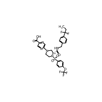 CCC(F)(F)c1ccc(CNC(=O)[C@H]2CN(c3cnc(C(=O)O)cn3)CCN2S(=O)(=O)c2ccc(OC(F)(F)F)cc2)cc1